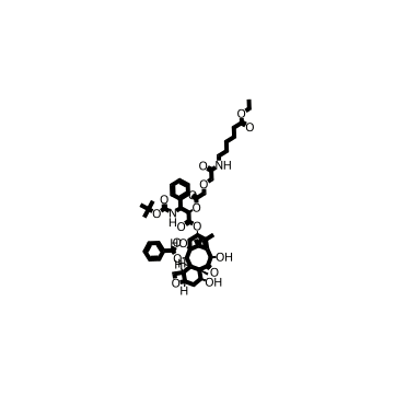 CCOC(=O)CCCCCNC(=O)COCC(=O)O[C@@H](C(=O)O[C@H]1C[C@@]2(O)[C@@H](OC(=O)c3ccccc3)[C@@H]3[C@@H]4CO[C@@H]4C[C@H](O)[C@@]3(C)C(=O)[C@H](O)C(=C1C)C2(C)C)C(NC(=O)OC(C)(C)C)c1ccccc1